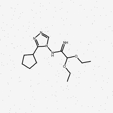 CCOC(OCC)C(=N)Nn1cnnc1C1CCCC1